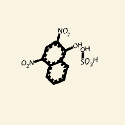 O=S(=O)(O)O.O=[N+]([O-])c1cc([N+](=O)[O-])c2ccccc2c1O